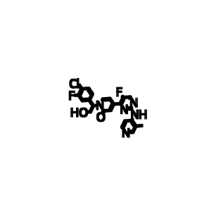 Cc1cnccc1Nc1ncc(F)c(-c2ccn(C(CO)c3ccc(Cl)c(F)c3)c(=O)c2)n1